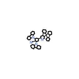 N#Cc1c(-n2c3ccccc3c3ccccc32)cc(-c2cc3c(cn2)C2(c4ccccc4-c4ccccc42)c2ccccc2-3)cc1-n1c2ccccc2c2ccccc21